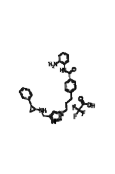 Nc1ccccc1NC(=O)c1ccc(CCCn2cnc(CNC3CC3c3ccccc3)c2)cc1.O=C(O)C(F)(F)F